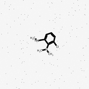 CNc1cccc(Cl)c1N(C)C